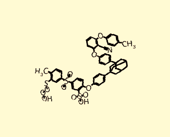 Cc1ccc(Oc2cccc(Oc3ccc(C45CC6CC(CC(c7ccc(Oc8ccc(S(=O)(=O)c9ccc(C)c(SOOO)c9)cc8S(=O)(=O)O)cc7)(C6)C4)C5)cc3)c2C#N)cc1